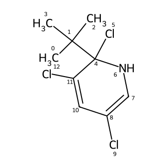 CC(C)(C)C1(Cl)NC=C(Cl)C=C1Cl